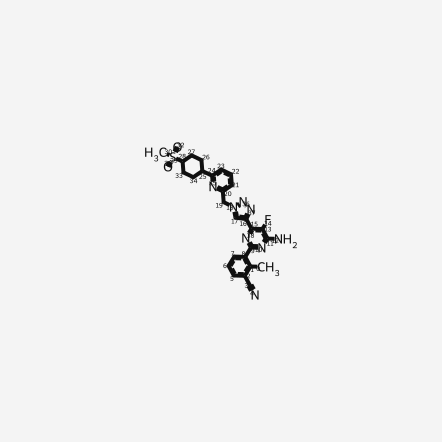 Cc1c(C#N)cccc1-c1nc(N)c(F)c(-c2cn(Cc3cccc(C4CCC(S(C)(=O)=O)CC4)n3)nn2)n1